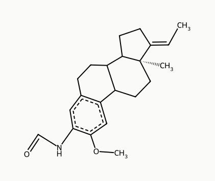 CC=C1CCC2C3CCc4cc(NC=O)c(OC)cc4C3CC[C@]12C